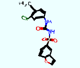 Cc1ccc(NC(=O)NS(=O)(=O)c2ccc3c(c2)CCO3)cc1Cl